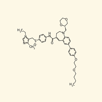 CCCCOCCOc1ccc(-c2ccc3c(c2)C=C(C(=O)Nc2ccc([S@+]([O-])Cc4c(C)ncn4CC)cc2)CCN3C[C@@H]2COCCO2)cc1